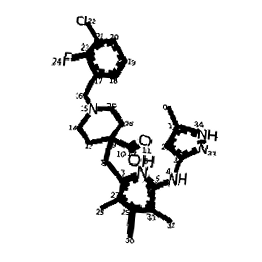 Cc1cc(Nc2nc(CC3(C(=O)O)CCN(Cc4cccc(Cl)c4F)CC3)c(C)c(C)c2C)n[nH]1